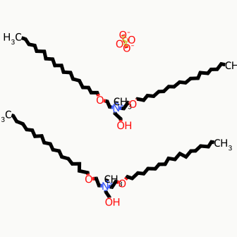 CCCCCCCCCCCCCCCCCCOCC[N+](C)(CCO)CCOCCCCCCCCCCCCCCCCCC.CCCCCCCCCCCCCCCCCCOCC[N+](C)(CCO)CCOCCCCCCCCCCCCCCCCCC.O=S(=O)([O-])[O-]